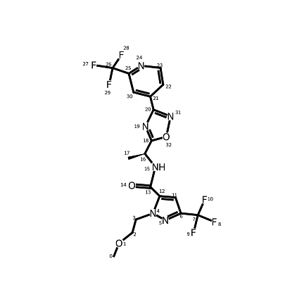 COCCn1nc(C(F)(F)F)cc1C(=O)N[C@@H](C)c1nc(-c2ccnc(C(F)(F)F)c2)no1